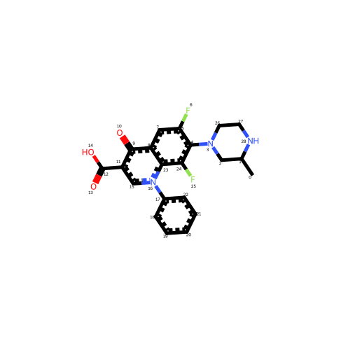 CC1CN(c2c(F)cc3c(=O)c(C(=O)O)cn(-c4ccccc4)c3c2F)CCN1